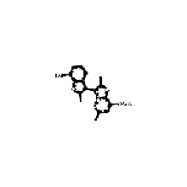 CCCCCc1cc(C)nn2c(-c3c(C)sc4c(C(C)(C)C)cccc34)c(C)nc12